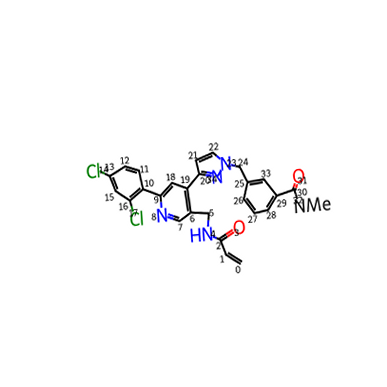 C=CC(=O)NCc1cnc(-c2ccc(Cl)cc2Cl)cc1-c1ccn(Cc2cccc(C(=O)NC)c2)n1